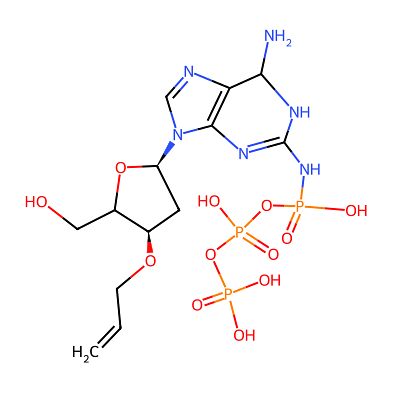 C=CCO[C@@H]1C[C@H](n2cnc3c2N=C(NP(=O)(O)OP(=O)(O)OP(=O)(O)O)NC3N)OC1CO